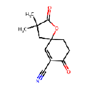 CC1(C)CC2(C=C(C#N)C(=O)CC2)OC1=O